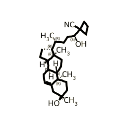 C[C@H](CC[C@H](O)C1(C#N)CCC1)[C@H]1CC[C@H]2[C@@H]3CC=C4C[C@@](C)(O)CC[C@]4(C)[C@H]3CC[C@]12C